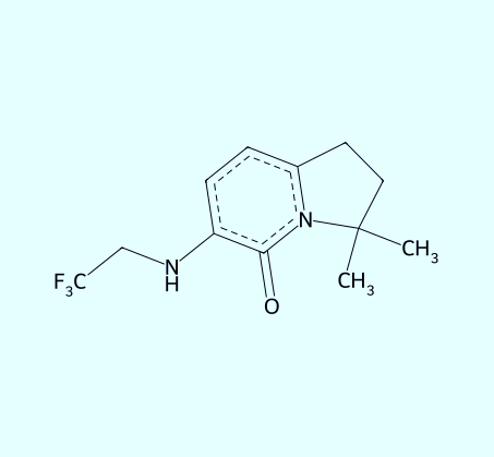 CC1(C)CCc2ccc(NCC(F)(F)F)c(=O)n21